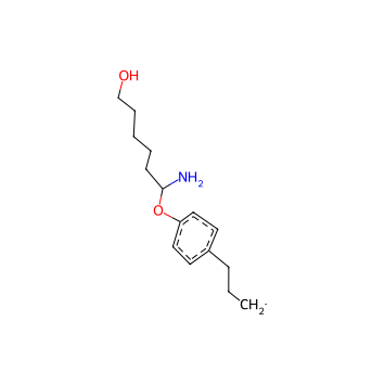 [CH2]CCc1ccc(OC(N)CCCCCO)cc1